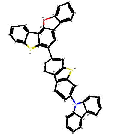 C1=C(c2cc3c4ccccc4oc3c3c2sc2ccccc23)CCc2c1sc1cc(-n3c4ccccc4c4ccccc43)ccc21